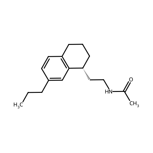 CCCc1ccc2c(c1)[C@@H](CCNC(C)=O)CCC2